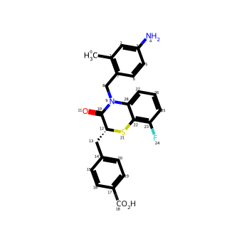 Cc1cc(N)ccc1CN1C(=O)[C@@H](Cc2ccc(C(=O)O)cc2)Sc2c(F)cccc21